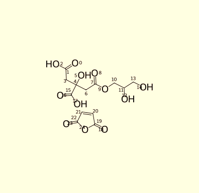 O=C(O)CC(O)(CC(=O)OCC(O)CO)C(=O)O.O=C1C=CC(=O)O1